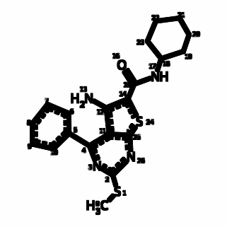 CSc1nc(-c2ccccc2)c2c(N)c(C(=O)NC3CCCCC3)sc2n1